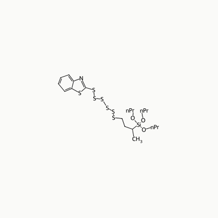 CCCO[Si](OCCC)(OCCC)C(C)CCSSSSSSc1nc2ccccc2s1